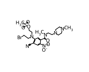 CN1CCN(CCN(C)C(=O)c2cc(N(CCBr)CCOS(C)(=O)=O)c(C#N)cc2[N+](=O)[O-])CC1